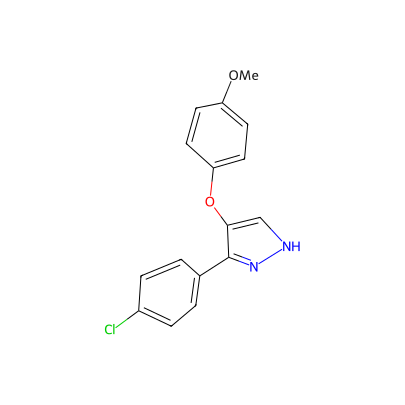 COc1ccc(Oc2c[nH]nc2-c2ccc(Cl)cc2)cc1